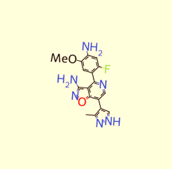 COc1cc(-c2ncc(-c3c[nH]nc3C)c3onc(N)c23)c(F)cc1N